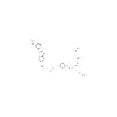 CCc1c2c(nc3ccc(OC(=O)N(C)CCN(C)C(=O)OCc4ccc(NC(=O)[C@H](CCCNC(N)=O)NC(=O)[C@H](C)NC(=O)CCC(=O)C(C)C)cc4)cc13)-c1cc3c(c(=O)n1C2)COC(=O)[C@]3(O)CC